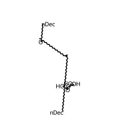 CCCCCCCCCCCCCCCCCCCCCCCCC(C(=O)OCC(O)CO)C(O)CCCCCCCCCCCCCCCCCC1CC1CCCCCCCCCCCCCCCCC(=O)C(C)CCCCCCCCCCCCCCCCCC